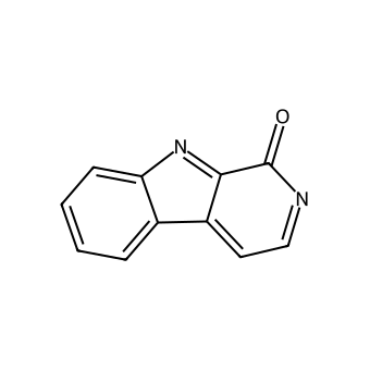 O=C1N=CC=C2C1=Nc1ccccc12